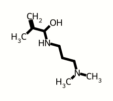 C=C(C)C(O)NCCCN(C)C